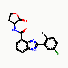 O=C(NC1CCOC1=O)c1cccc2[nH]c(-c3cc(F)ccc3C(F)(F)F)nc12